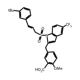 COc1ccc(Cc2cc3cc(C(F)(F)F)ccc3n2S(=O)(=O)CC=Cc2cccc(C(C)(C)C)c2)cc1C(=O)O